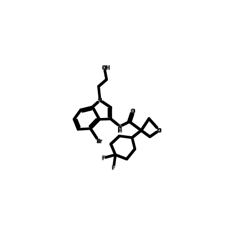 O=C(Nc1cn(CCO)c2cccc(Br)c12)C1(C2CCC(F)(F)CC2)COC1